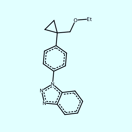 CCOCC1(c2ccc(-n3nnc4ccccc43)cc2)CC1